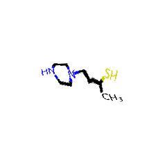 CC(S)CCN1CCNCC1